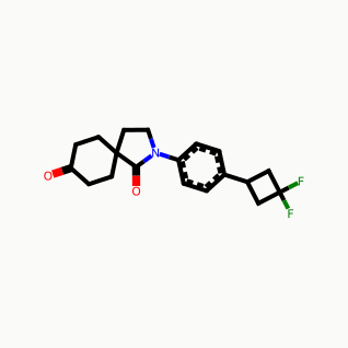 O=C1CCC2(CC1)CCN(c1ccc(C3CC(F)(F)C3)cc1)C2=O